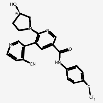 N#Cc1ccncc1-c1cc(C(=O)Nc2ccc(OC(F)(F)F)cc2)cnc1N1CC[C@@H](O)C1